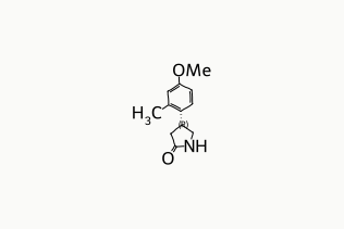 COc1ccc([C@@H]2CNC(=O)C2)c(C)c1